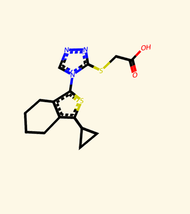 O=C(O)CSc1nncn1-c1sc(C2CC2)c2c1CCCC2